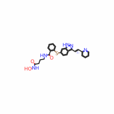 O=C(CCCNC(=O)c1ccccc1Sc1ccc2c(/C=C/c3ccccn3)n[nH]c2c1)NO